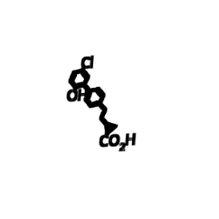 O=C(O)C1CC1CCc1ccc(-c2cc(Cl)ccc2O)cc1